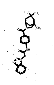 CC1(C)CC2CC(C)(CN2C(=O)c2ccc(NC(=O)Cn3nnc4ccccc43)cc2)C1